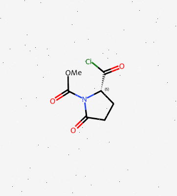 COC(=O)N1C(=O)CC[C@H]1C(=O)Cl